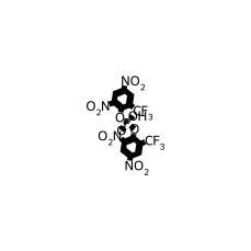 O=[N+]([O-])c1cc([N+](=O)[O-])c(OP(=O)(O)Oc2c([N+](=O)[O-])cc([N+](=O)[O-])cc2C(F)(F)F)c(C(F)(F)F)c1